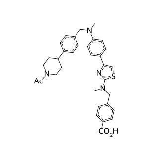 CC(=O)N1CCC(c2ccc(CN(C)c3ccc(-c4csc(N(C)Cc5ccc(C(=O)O)cc5)n4)cc3)cc2)CC1